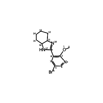 COc1ncc(Br)cc1C1=NC2CCCCC2N1